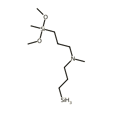 CO[Si](C)(CCCN(C)CCC[SiH3])OC